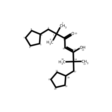 CC(C)(CC1CCCC1)C(=O)/C=C(\O)C(C)(C)CC1CCCC1